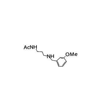 COc1cccc(CNCCCNC(C)=O)c1